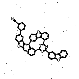 N#Cc1cccc(-c2ccc3oc4cccc(-c5ccc6oc7cccc(-c8nc(-c9ccccc9)nc(-c9ccc%10oc%11ccccc%11c%10c9)n8)c7c6c5)c4c3c2)c1